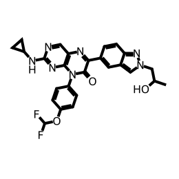 CC(O)Cn1cc2cc(-c3nc4cnc(NC5CC5)nc4n(-c4ccc(OC(F)F)cc4)c3=O)ccc2n1